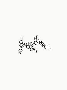 Cc1ccc(Oc2nc(-c3ccncc3)nc3cc[nH]c23)cc1C(=O)Nc1ccc(CN2CCN(C)CC2)c(C(F)(F)F)c1